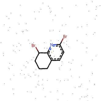 Brc1ccc2c(n1)C(Br)CCC2